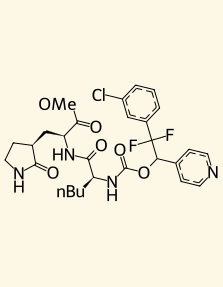 CCCC[C@H](NC(=O)OC(c1ccncc1)C(F)(F)c1cccc(Cl)c1)C(=O)N[C@@H](C[C@@H]1CCNC1=O)C(=O)OC